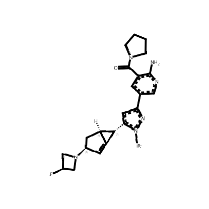 CC(C)n1nc(-c2cnc(N)c(C(=O)N3CCCC3)c2)cc1[C@@H]1C2=C[C@@H](N3CC(F)C3)C[C@H]21